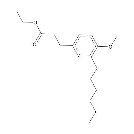 CCCCCCc1cc(CCC(=O)OCC)ccc1OC